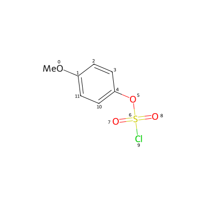 COc1ccc(OS(=O)(=O)Cl)cc1